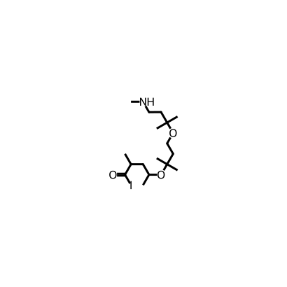 CNCCC(C)(C)OCCC(C)(C)OC(C)CC(C)C(=O)I